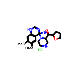 COc1cc2c(cc1OC)C(N)(N1CCNCC1C(=O)C1CCCO1)N=CN2.Cl